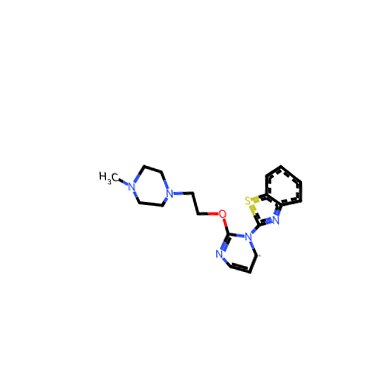 CN1CCN(CCOC2=NC=C[CH]N2c2nc3ccccc3s2)CC1